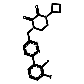 O=C1C(=O)N(C2CCC2)CCN1Cc1ccc(-c2cccc(F)c2F)nn1